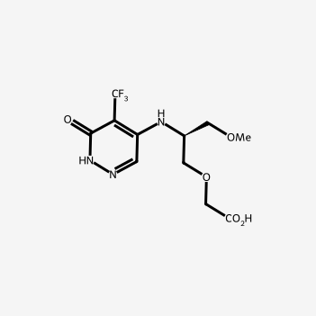 COC[C@@H](COCC(=O)O)Nc1cn[nH]c(=O)c1C(F)(F)F